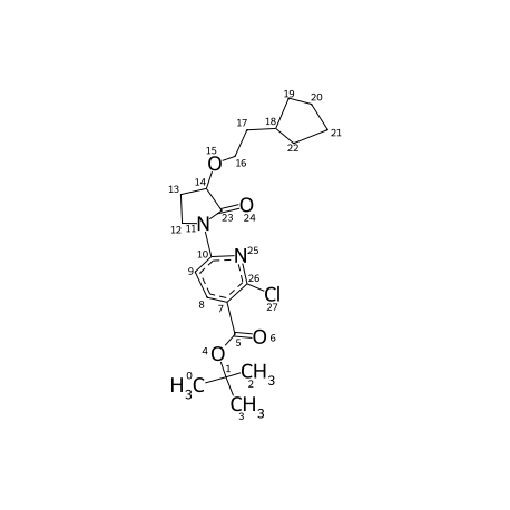 CC(C)(C)OC(=O)c1ccc(N2CCC(OCCC3CCCC3)C2=O)nc1Cl